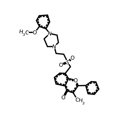 COc1ccccc1N1CCN(CCS(=O)(=O)Cc2cccc3c(=O)c(C)c(-c4ccccc4)oc23)CC1